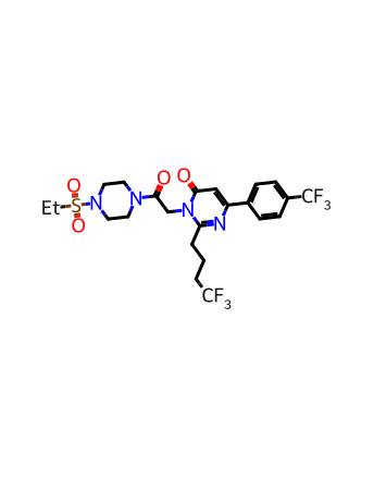 CCS(=O)(=O)N1CCN(C(=O)Cn2c(CCCC(F)(F)F)nc(-c3ccc(C(F)(F)F)cc3)cc2=O)CC1